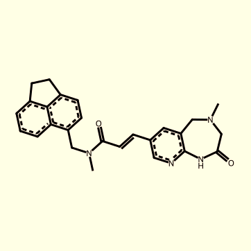 CN1CC(=O)Nc2ncc(/C=C/C(=O)N(C)Cc3ccc4c5c(cccc35)CC4)cc2C1